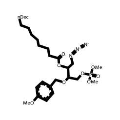 CCCCCCCCCCCCCCCCCC(=O)OC(CN=[N+]=[N-])C(COP(=O)(OC)OC)OCc1ccc(OC)cc1